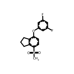 CS(=O)(=O)c1ccc(Oc2cc(F)cc(F)c2)c2c1CCC2